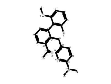 COc1cccc(F)c1-c1cccc(C(C)=O)c1Cc1ccc(N(C)C)nc1